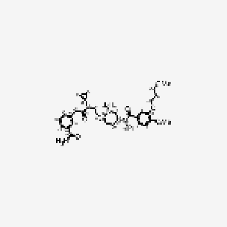 BN1C[C@H](N(C(=O)c2ccc(OC)c(OCCCOC)c2)C(C)C)CC[C@@H]1CCN(C(=O)Cc1cccc(C(N)=O)c1)C1CC1